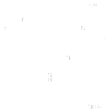 CC(=O)NCc1cc(NC2CCC(F)(F)CC2)nc(-c2nc(C)cs2)c1